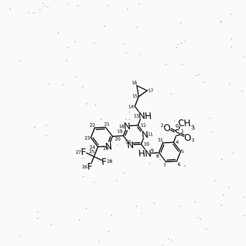 CS(=O)(=O)c1cccc(Nc2nc(NCC3CC3)nc(-c3cccc(C(F)(F)F)n3)n2)c1